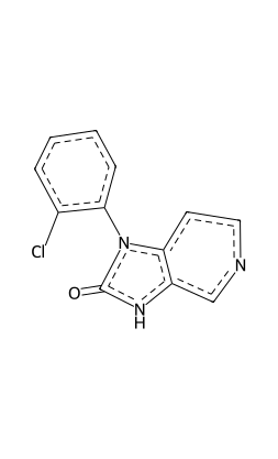 O=c1[nH]c2cnccc2n1-c1ccccc1Cl